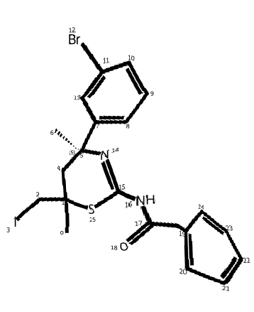 CC1(CI)C[C@@](C)(c2cccc(Br)c2)N=C(NC(=O)c2ccccc2)S1